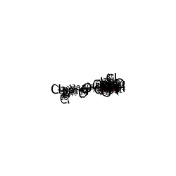 CC(=O)[C@@]1(OC(=O)CCCOC(=O)CCCc2ccc(N(CCCl)CCCl)cc2)CC[C@H]2[C@@H]3C=C(Cl)C4=CC(=O)[C@@H]5C[C@@H]5[C@]4(C)[C@H]3CC[C@@]21C